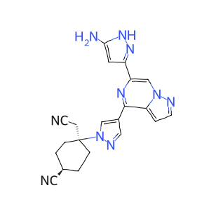 N#CC[C@]1(n2cc(-c3nc(-c4cc(N)[nH]n4)cn4nccc34)cn2)CC[C@@H](C#N)CC1